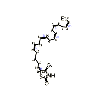 CC/C=C\C/C=C\C/C=C\C/C=C\C/C=C\CCC/C=C1/SC(=O)NC1=O